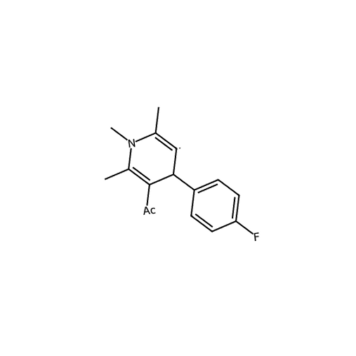 CC(=O)C1=C(C)N(C)C(C)=[C]C1c1ccc(F)cc1